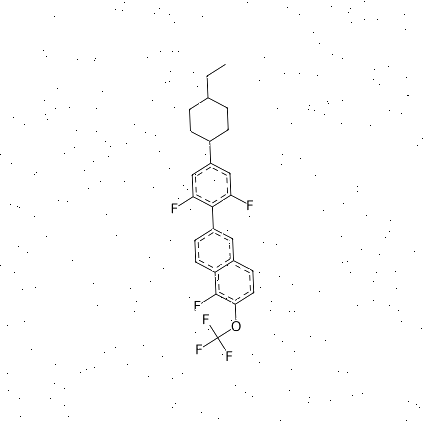 CCC1CCC(c2cc(F)c(-c3ccc4c(F)c(OC(F)(F)F)ccc4c3)c(F)c2)CC1